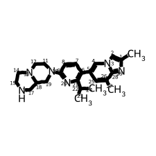 Cc1cn2cc(-c3ccc(N4CCN5CCNCC5C4)nc3C(C)C)cc(C)c2n1